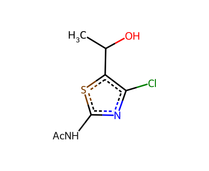 CC(=O)Nc1nc(Cl)c(C(C)O)s1